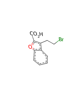 O=C(O)c1oc2ccccc2c1CCBr